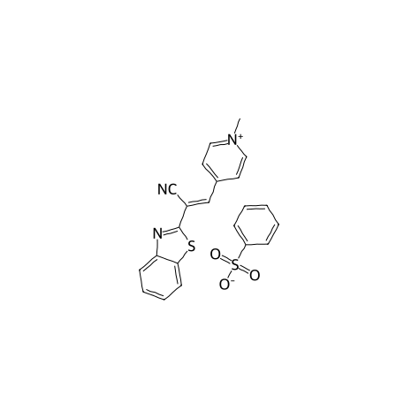 C[n+]1ccc(/C=C(\C#N)c2nc3ccccc3s2)cc1.O=S(=O)([O-])c1ccccc1